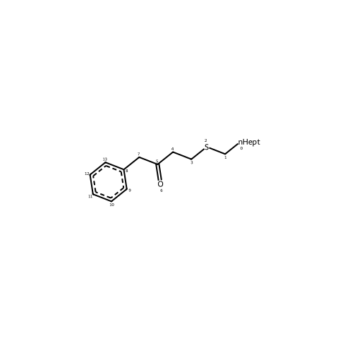 CCCCCCCCSCCC(=O)Cc1ccccc1